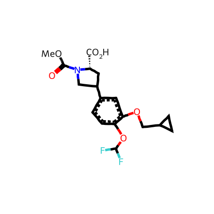 COC(=O)N1CC(c2ccc(OC(F)F)c(OCC3CC3)c2)C[C@H]1C(=O)O